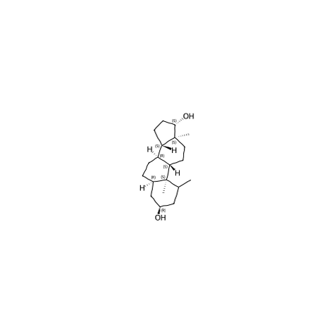 CC1C[C@@H](O)C[C@H]2CC[C@H]3[C@@H]4CC[C@H](O)[C@@]4(C)CC[C@@H]3[C@@]12C